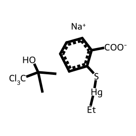 CC(C)(O)C(Cl)(Cl)Cl.C[CH2][Hg][S]c1ccccc1C(=O)[O-].[Na+]